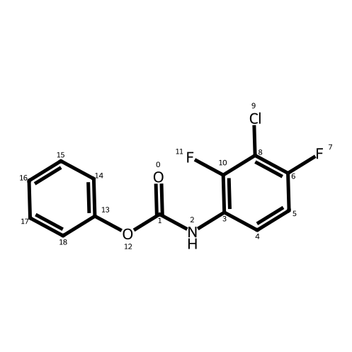 O=C(Nc1ccc(F)c(Cl)c1F)Oc1ccccc1